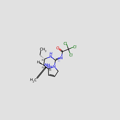 C=C1N[C@H]2[C@H](CC)N/C(=N\C(=O)C(Cl)(Cl)Cl)N3CC=C[C@]23N1